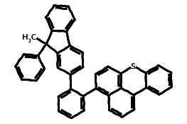 CC1(c2ccccc2)c2ccccc2-c2ccc(-c3ccccc3-c3ccc4c5c(cccc35)-c3ccccc3S4)cc21